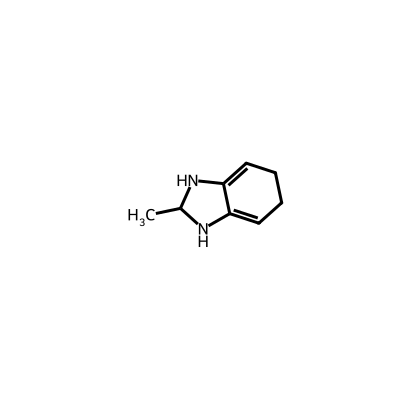 CC1NC2=CCCC=C2N1